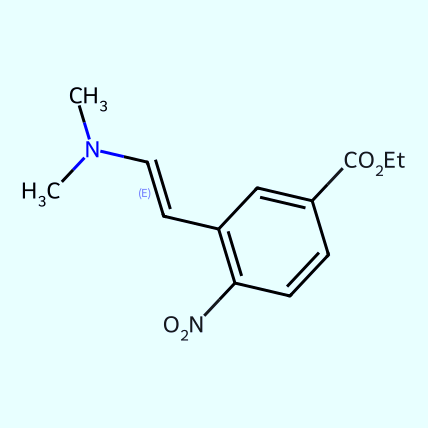 CCOC(=O)c1ccc([N+](=O)[O-])c(/C=C/N(C)C)c1